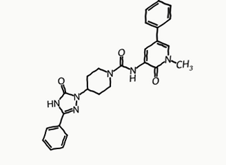 [C-]#[N+]c1ccc(-c2cc(NC(=O)N3CCC(n4nc(-c5ccccc5)[nH]c4=O)CC3)c(=O)n(C)c2)cc1